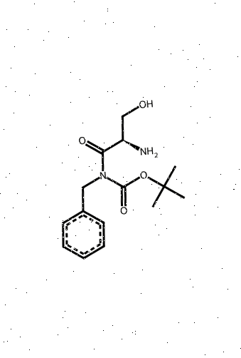 CC(C)(C)OC(=O)N(Cc1ccccc1)C(=O)[C@H](N)CO